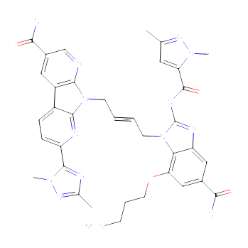 CCn1nc(C)cc1C(=O)Nc1nc2cc(C(N)=O)cc(OCCCNC)c2n1C/C=C/Cn1c2ncc(C(N)=O)cc2c2ccc(-c3nc(C)nn3CC)nc21